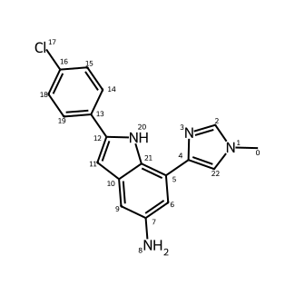 Cn1cnc(-c2cc(N)cc3cc(-c4ccc(Cl)cc4)[nH]c23)c1